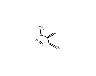 C=CC(=O)OC.[S]=[Sn]